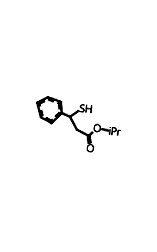 CC(C)OC(=O)CC(S)c1ccccc1